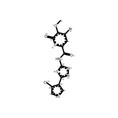 COc1c(Br)cc(C(=O)Nc2nnc(-c3cscc3Cl)s2)oc1=O